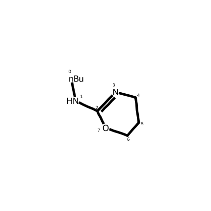 CCCCNC1=NCCCO1